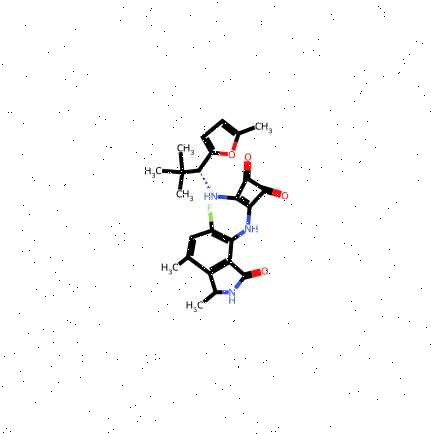 Cc1ccc([C@H](Nc2c(Nc3c(F)cc(C)c4c3C(=O)NC4C)c(=O)c2=O)C(C)(C)C)o1